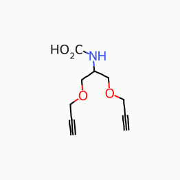 C#CCOCC(COCC#C)NC(=O)O